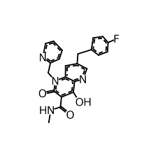 CNC(=O)c1c(O)c2ncc(Cc3ccc(F)cc3)cc2n(Cc2ccccn2)c1=O